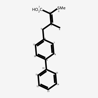 CS/C(C(=O)O)=C(\C)Cc1ccc(-c2ccccc2)cc1